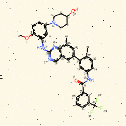 COc1ccc(N2CCC(O)CC2)cc1Nc1ncc2cc(-c3cc(NC(=O)c4cccc(C(F)(F)F)c4)ccc3C)cc(C)c2n1